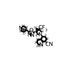 N#Cc1ccc(N2C[C@]3(c4nnc(C56CCN(CC5)CC6)o4)C[C@]3(C(F)(F)F)C2)c2cccnc12